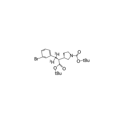 [2H]C([2H])(c1cccc(Br)c1)[C@H](C(=O)OC(C)(C)C)[C@H]1CCN(C(=O)OC(C)(C)C)C1